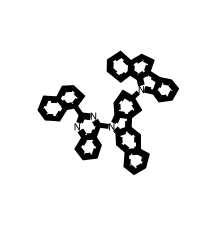 c1ccc2cc3c(cc2c1)c1cc(-n2c4ccccc4c4ccc5ccccc5c42)ccc1n3-c1nc(-c2cccc3ccccc23)nc2ccccc12